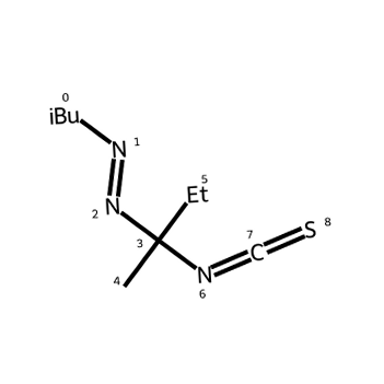 CCC(C)N=NC(C)(CC)N=C=S